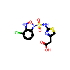 O=C(O)Cc1csc(NS(=O)(=O)N2ONc3c(Cl)cccc32)n1